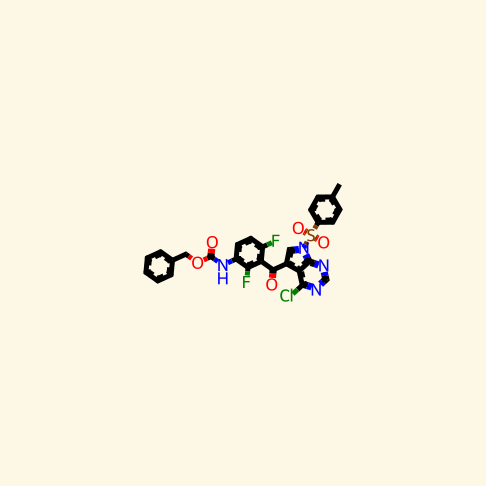 Cc1ccc(S(=O)(=O)n2cc(C(=O)c3c(F)ccc(NC(=O)OCc4ccccc4)c3F)c3c(Cl)ncnc32)cc1